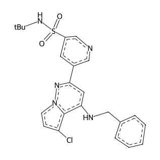 CC(C)(C)NS(=O)(=O)c1cncc(-c2cc(NCc3ccccc3)c3c(Cl)ccn3n2)c1